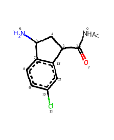 CC(=O)NC(=O)C1CC(N)c2ccc(Cl)cc21